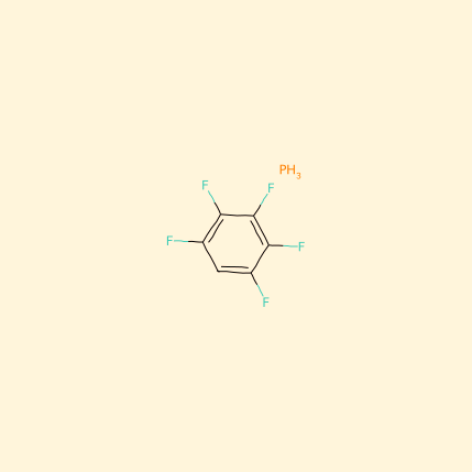 Fc1cc(F)c(F)c(F)c1F.P